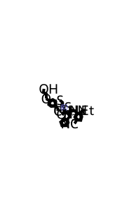 CCNc1ccc(C#N)cc1N=C1S/C(=C2\CSc3cc(OCCO)ccc3N2C)C(=O)N1Cc1ccccc1